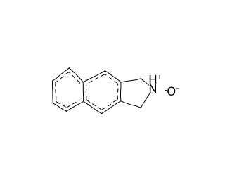 [O-][NH+]1Cc2cc3ccccc3cc2C1